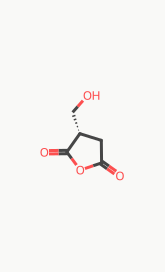 O=C1C[C@@H](CO)C(=O)O1